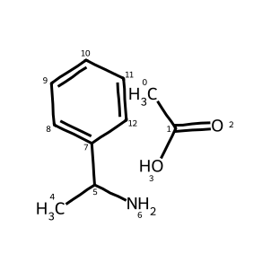 CC(=O)O.CC(N)c1ccccc1